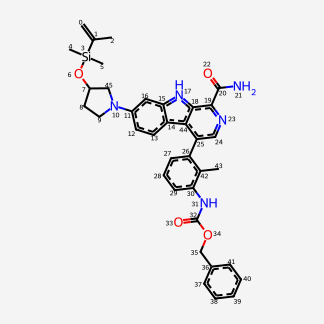 C=C(C)[Si](C)(C)OC1CCN(c2ccc3c(c2)[nH]c2c(C(N)=O)ncc(-c4cccc(NC(=O)OCc5ccccc5)c4C)c23)C1